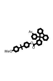 COc1ccc(C(C)(C)c2ccc(OC(=O)c3cccc(C4(c5cccc(C(C)=O)c5)c5ccccc5-c5ccccc54)c3)cc2)cc1